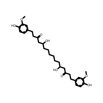 COc1cc(CCC(=O)CC(O)CCCCCCC(O)CC(=O)CCc2ccc(O)c(OC)c2)ccc1O